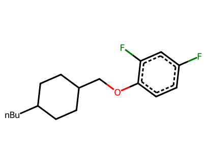 CCCCC1CCC(COc2ccc(F)cc2F)CC1